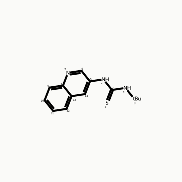 CC(C)(C)NC(=S)Nc1cnc2ccccc2c1